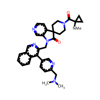 CNC1(C(=O)N2CCC3(CC2)C(=O)N(Cc2ncc4ccccc4c2-c2ccc(CN(C)C)nc2)c2cnccc23)CC1